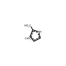 O=C(O)c1ccc[nH]1.[CaH2]